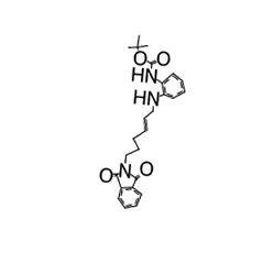 CC(C)(C)OC(=O)Nc1ccccc1NCC=CCCCN1C(=O)c2ccccc2C1=O